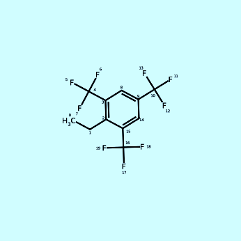 CCc1c(C(F)(F)F)cc(C(F)(F)F)cc1C(F)(F)F